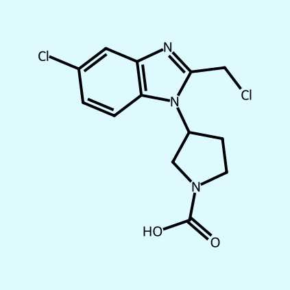 O=C(O)N1CCC(n2c(CCl)nc3cc(Cl)ccc32)C1